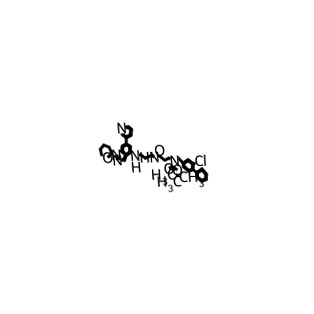 CC(C)(C)OC(=O)N(CCC(=O)NCCCNc1cc(-c2cccnc2)cc2c1cnn2C1CCCCO1)Cc1ccc(-c2ccccc2)c(Cl)c1